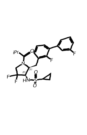 CC(C)C(=O)N1CC(F)(F)[C@H](NS(=O)(=O)C2CC2)[C@@H]1Cc1cccc(-c2cccc(F)c2)c1F